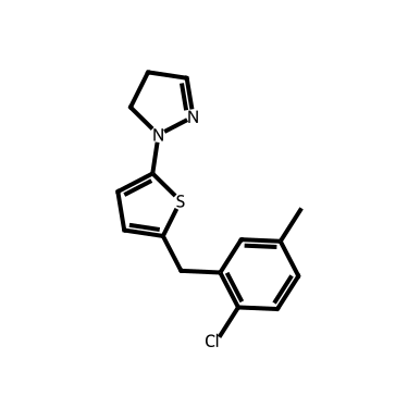 Cc1ccc(Cl)c(Cc2ccc(N3CCC=N3)s2)c1